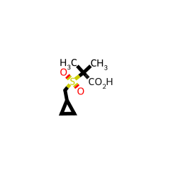 CC(C)(C(=O)O)S(=O)(=O)CC1CC1